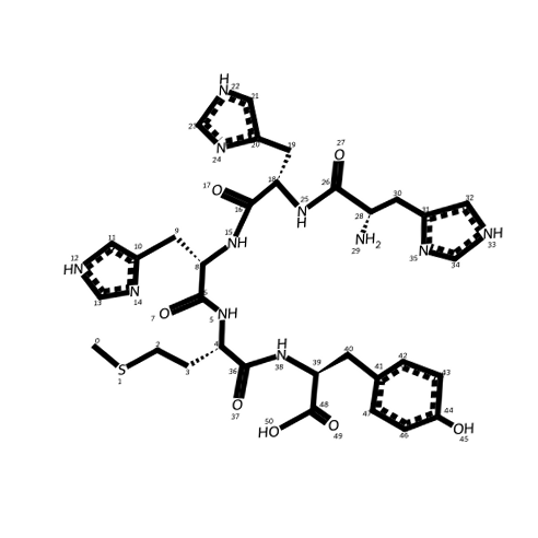 CSCC[C@H](NC(=O)[C@H](Cc1c[nH]cn1)NC(=O)[C@H](Cc1c[nH]cn1)NC(=O)[C@@H](N)Cc1c[nH]cn1)C(=O)N[C@@H](Cc1ccc(O)cc1)C(=O)O